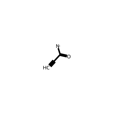 C#CC([N])=O